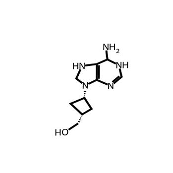 NC1NC=NC2=C1NCN2[C@H]1C[C@@H](CO)C1